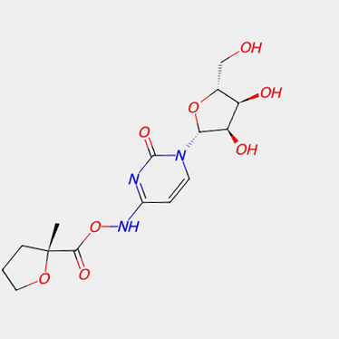 C[C@]1(C(=O)ONc2ccn([C@@H]3O[C@H](CO)[C@@H](O)[C@H]3O)c(=O)n2)CCCO1